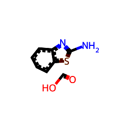 Nc1nc2ccccc2s1.O=CO